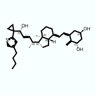 C=C1/C(=C\C=C2/CCC[C@]3(C)[C@@H]([C@H](C)/C=C/[C@@H](O)C4(c5cc(CCCC)cs5)CC4)CC[C@@H]23)C[C@@H](O)C[C@@H]1O